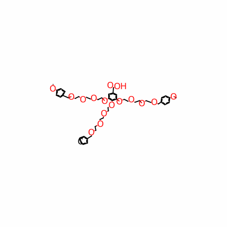 COc1ccc(COCCOCCOCCOc2cc(C(=O)O)cc(OCCOCCOCCOCc3ccc(OC)cc3)c2OCCOCCOCCOCc2ccccc2)cc1